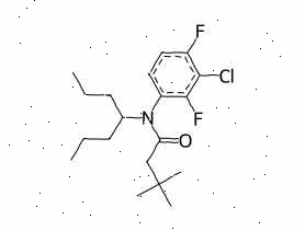 CCCC(CCC)N(C(=O)CC(C)(C)C)c1ccc(F)c(Cl)c1F